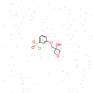 O=S(=O)(Cl)c1cccc(OCC2(O)COC2)c1